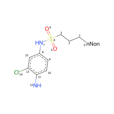 CCCCCCCCCCCCS(=O)(=O)Nc1ccc([NH])c(Cl)c1